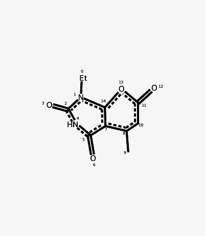 CCn1c(=O)[nH]c(=O)c2c(C)cc(=O)oc21